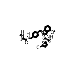 CN[C@H](C)C(=O)NCc1ccc(Cn2nc(NS(=O)(=O)c3ccc(Cl)s3)c3c(OC)cccc32)cc1